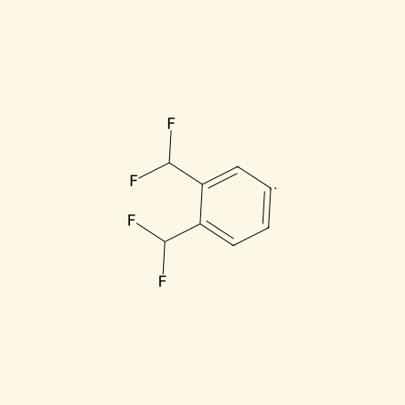 FC(F)c1c[c]ccc1C(F)F